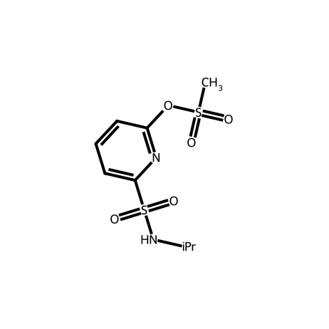 CC(C)NS(=O)(=O)c1cccc(OS(C)(=O)=O)n1